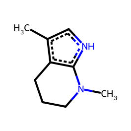 Cc1c[nH]c2c1CCCN2C